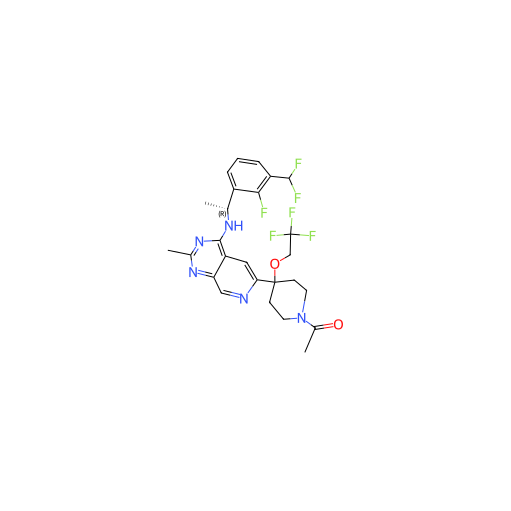 CC(=O)N1CCC(OCC(F)(F)F)(c2cc3c(N[C@H](C)c4cccc(C(F)F)c4F)nc(C)nc3cn2)CC1